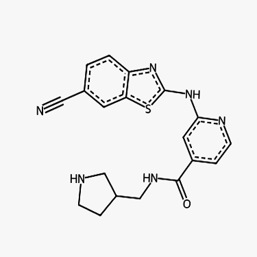 N#Cc1ccc2nc(Nc3cc(C(=O)NCC4CCNC4)ccn3)sc2c1